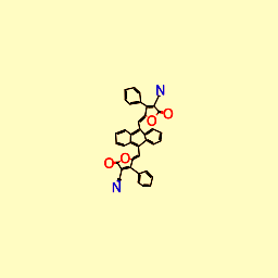 N#CC1=C(c2ccccc2)C(=Cc2c3ccccc3c(C=C3OC(=O)C(C#N)=C3c3ccccc3)c3ccccc23)OC1=O